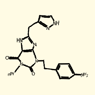 CCCn1c(=O)c2[nH]c(Cc3cc[nH]n3)nc2n(CCc2ccc(N)cc2)c1=O